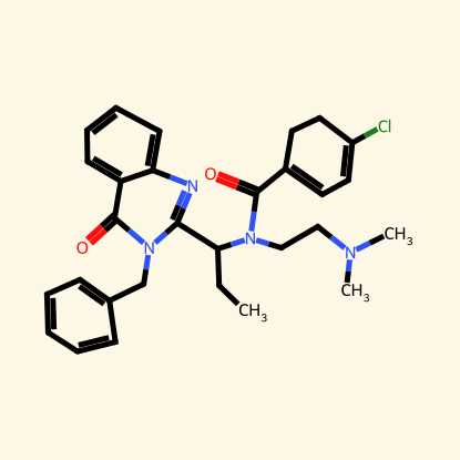 CCC(c1nc2ccccc2c(=O)n1Cc1ccccc1)N(CCN(C)C)C(=O)C1=CC=C(Cl)CC1